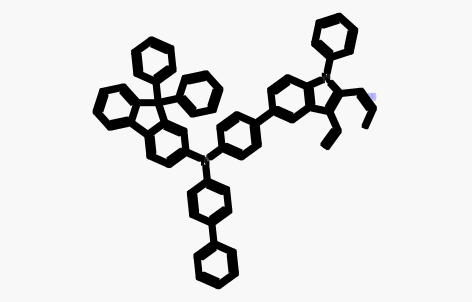 C=Cc1c(/C=C\C)n(-c2ccccc2)c2ccc(-c3ccc(N(c4ccc(-c5ccccc5)cc4)c4ccc5c(c4)C(c4ccccc4)(c4ccccc4)c4ccccc4-5)cc3)cc12